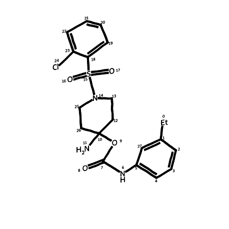 CCc1cccc(NC(=O)OC2(N)CCN(S(=O)(=O)c3ccccc3Cl)CC2)c1